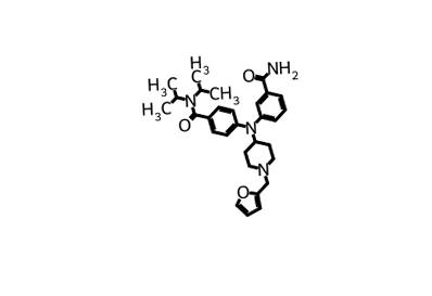 CC(C)N(C(=O)c1ccc(N(c2cccc(C(N)=O)c2)C2CCN(Cc3ccco3)CC2)cc1)C(C)C